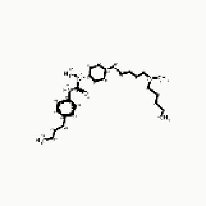 CCCCCN(C)CCCCO[C@H]1CC[C@H](N(C)C(=O)Nc2ccc(CCCC)cc2)CC1